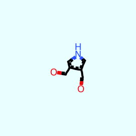 O=Cc1c[nH]cc1C=O